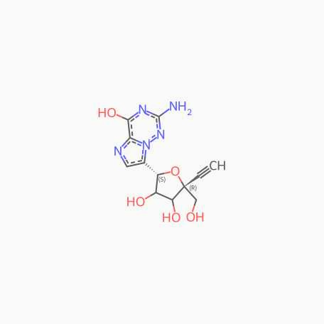 C#C[C@]1(CO)O[C@@H](c2cnc3c(O)nc(N)nn23)C(O)C1O